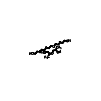 CC(O)COC(C)CO.OCCOCCOCCOCCOCCO